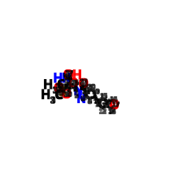 C[C@@](CCn1cnc2cc(-c3ccc4c(c3)COC4)ccc2c1=O)(C(=O)NO)S(C)(=O)=O